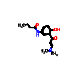 CCCC(=O)Nc1ccc(O)c(C(=O)C=CN(C)C)c1